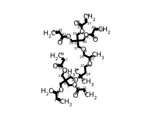 C=CC(=C)OCC(COC(=O)C=C)(COC(=O)C=C)COC(C)(C)CCOC(C)COCC(COC(=O)C=C)(COC(=O)C=C)COC(=O)C=C